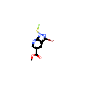 COC(=O)c1cnc2c(c1)c(Br)nn2SF